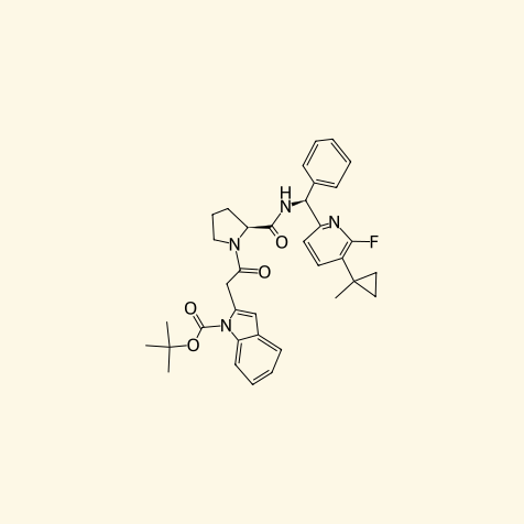 CC(C)(C)OC(=O)n1c(CC(=O)N2CCC[C@H]2C(=O)N[C@@H](c2ccccc2)c2ccc(C3(C)CC3)c(F)n2)cc2ccccc21